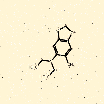 Cc1cc2c(cc1N(CC(=O)O)CC(=O)O)OCO2